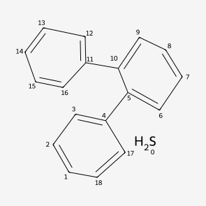 S.c1ccc(-c2ccccc2-c2ccccc2)cc1